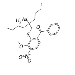 CCCCC([AsH2])(CCCC)CSc1c(C(=O)c2ccccc2)ccc([N+](=O)[O-])c1OC